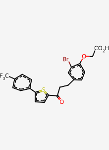 O=C(O)COc1ccc(CCC(=O)c2ccc(-c3ccc(C(F)(F)F)cc3)s2)cc1Br